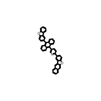 c1ccc2cc3c(cc2c1)oc1ccc(-c2ccc(-c4c5ccccc5c(-c5ccc6oc7ccccc7c6c5)c5ccccc45)cn2)cc13